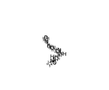 O=C(NC1CCCC1)N1CC=C(c2c[nH]c3ncc(-c4ccc(OCCN5CCOCC5)cc4)cc23)CC1